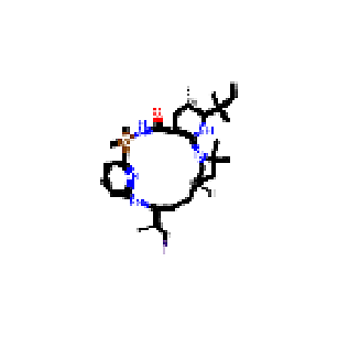 CCC(C)(C)C1NC2=C(C[C@@H]1C)C(=O)NS(C)(C)c1cccc(n1)NC([C@H](C)CI)CC[C@@H]1CN2C(C)(C)C1